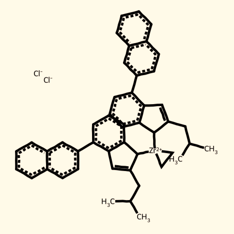 CC(C)CC1=Cc2c(-c3ccc4ccccc4c3)cccc2[CH]1[Zr+2]1([CH]2C(CC(C)C)=Cc3c(-c4ccc5ccccc5c4)cccc32)[CH2][CH2]1.[Cl-].[Cl-]